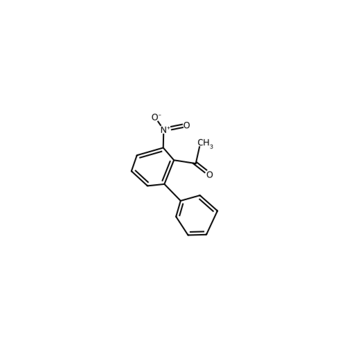 CC(=O)c1c(-c2ccccc2)cccc1[N+](=O)[O-]